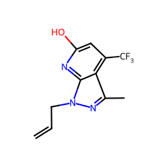 C=CCn1nc(C)c2c(C(F)(F)F)cc(O)nc21